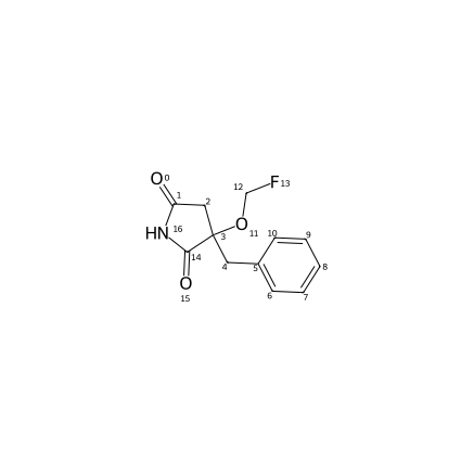 O=C1CC(Cc2ccccc2)(OCF)C(=O)N1